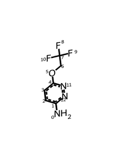 Nc1ccc(OCC(F)(F)F)nn1